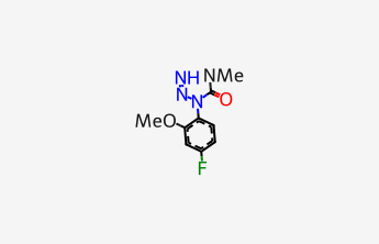 CNC(=O)N(N=N)c1ccc(F)cc1OC